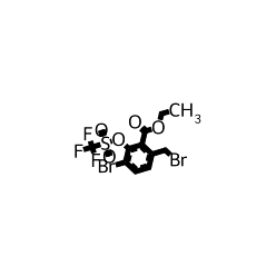 CCOC(=O)c1c(CBr)ccc(Br)c1OS(=O)(=O)C(F)(F)F